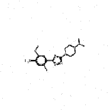 COc1cc(-c2nc(N3CCN(C(C)C)CC3)no2)c(F)cc1N